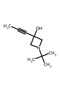 CC#CC1(O)CN(C(C)(C)C)C1